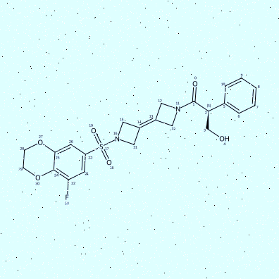 O=C([C@H](CO)c1ccccc1)N1CC(=C2CN(S(=O)(=O)c3cc(F)c4c(c3)OCCO4)C2)C1